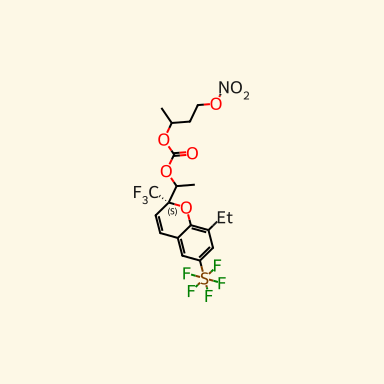 CCc1cc(S(F)(F)(F)(F)F)cc2c1O[C@@](C(C)OC(=O)OC(C)CCO[N+](=O)[O-])(C(F)(F)F)C=C2